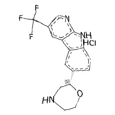 Cl.FC(F)(F)c1cnc2[nH]c3ccc([C@H]4CNCCO4)cc3c2c1